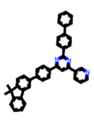 CC1(C)c2ccccc2-c2cc(-c3ccc(-c4cc(-c5cccnc5)nc(-c5ccc(-c6ccccc6)cc5)n4)cc3)ccc21